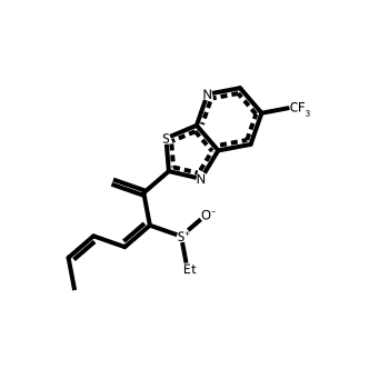 C=C(/C(=C\C=C/C)[S+]([O-])CC)c1nc2cc(C(F)(F)F)cnc2s1